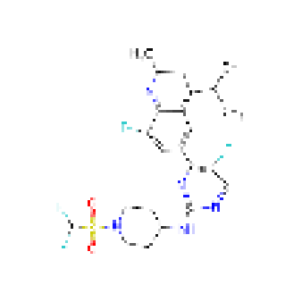 Cc1cc(C(C)C)c2cc(-c3nc(NC4CCN(S(=O)(=O)C(F)F)CC4)ncc3F)cc(F)c2n1